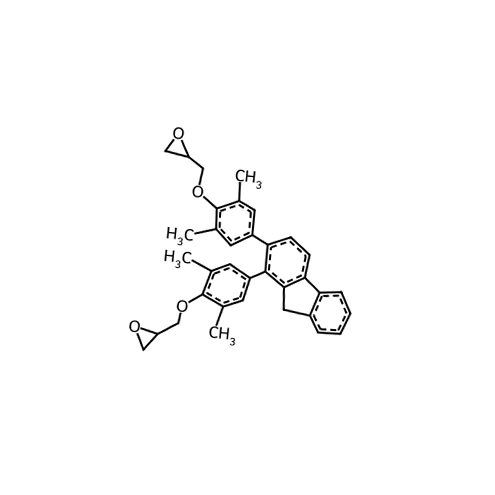 Cc1cc(-c2ccc3c(c2-c2cc(C)c(OCC4CO4)c(C)c2)Cc2ccccc2-3)cc(C)c1OCC1CO1